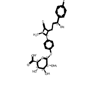 CN1C(=O)C(CC[C@H](O)c2ccc(F)cc2)[C@H]1c1ccc(O[C@@H]2O[C@H](C(=O)O)[C@@H](O)[C@H](O)[C@H]2O)cc1